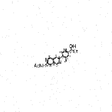 CCC(O)c1cc(C)c(-c2cc3cnc(NC(C)=O)cc3cn2)cn1